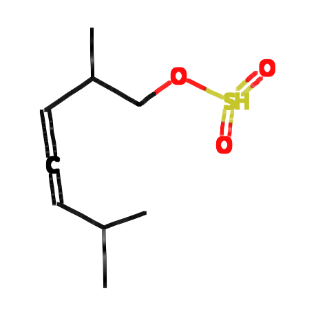 CC(C)C=C=CC(C)CO[SH](=O)=O